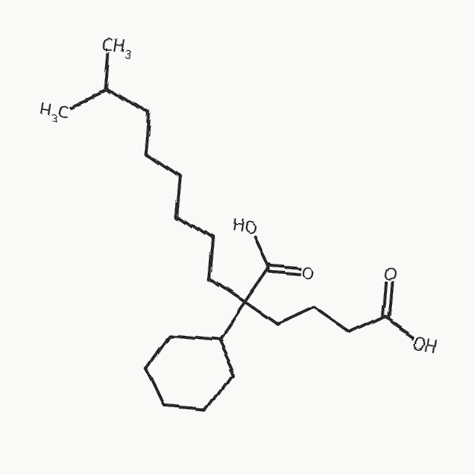 CC(C)CCCCCCC(CCCC(=O)O)(C(=O)O)C1CCCCC1